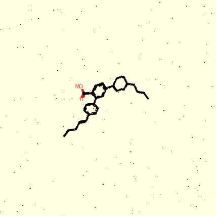 CCCC=Cc1ccc(-c2cc(C3CCC(CCCC)CC3)ccc2C(=O)O)cc1